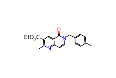 CCOC(=O)c1cc2c(=O)n(Cc3ccc(C)cc3)ccc2nc1C